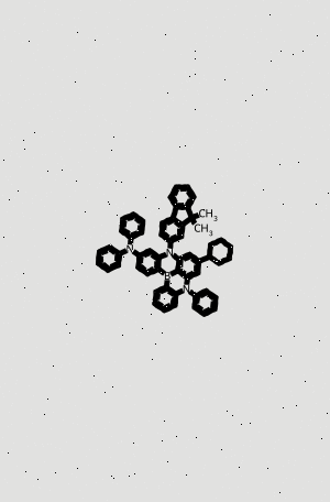 CC1(C)c2ccccc2-c2ccc(N3c4cc(N(c5ccccc5)c5ccccc5)ccc4B4c5ccccc5N(c5ccccc5)c5cc(C6CCCCC6)cc3c54)cc21